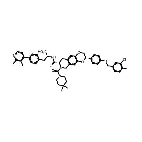 Cc1nccc(-c2ccc(C[C@H](NC(=O)[C@@H]3Cc4cc5c(cc4CN3C(=O)N3CCC(F)(F)CC3)O[C@@H](c3ccc(OCc4ccc(Cl)c(Cl)c4)cc3)CO5)C(=O)O)cc2)c1C